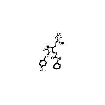 CCOP(=O)(CCC1NC(=O)N(OCc2ccc(C)cc2)/C1=N\C(=O)Nc1ccccc1)OCC